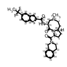 CN1CC[C@H]2CC[C@@H](C(=O)N3CCc4ccccc4C3)N2C(=O)[C@@H](NC(=O)c2cc3cc(C(C)(F)F)ccc3s2)C1